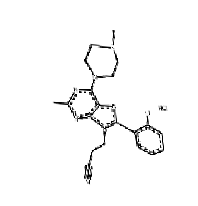 Cc1nc(N2CCN(C)CC2)c2nc(-c3ccccc3Cl)n(CCC#N)c2n1.Cl